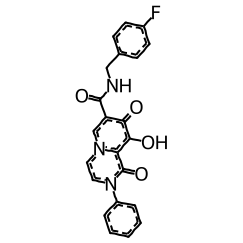 O=C(NCc1ccc(F)cc1)c1cn2ccn(-c3ccccc3)c(=O)c2c(O)c1=O